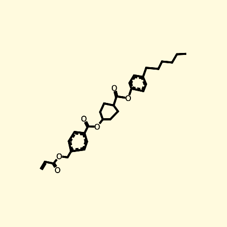 C=CC(=O)OCc1ccc(C(=O)OC2CCC(C(=O)Oc3ccc(CCCCCC)cc3)CC2)cc1